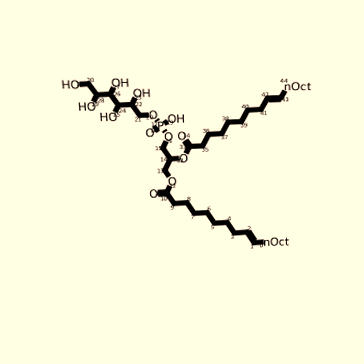 CCCCCCCCC=CCCCCCCCC(=O)OCC(COP(=O)(O)OCC(O)C(O)C(O)C(O)CO)OC(=O)CCCCCCCC=CCCCCCCCC